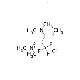 CCC(C(C=[N+](C)C)C(F)(F)F)N(C)C.[Cl-]